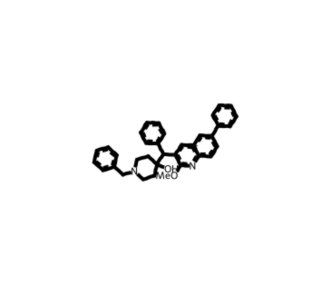 COc1nc2ccc(-c3ccccc3)cc2cc1C(c1ccccc1)C1(O)CCN(Cc2ccccc2)CC1